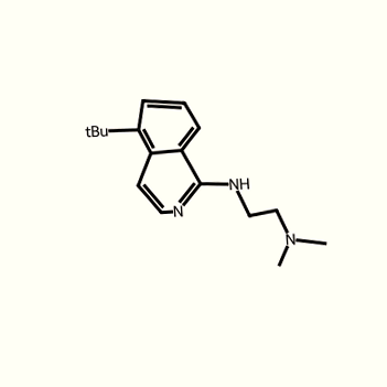 CN(C)CCNc1nccc2c(C(C)(C)C)cccc12